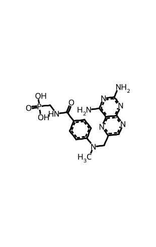 CN(Cc1cnc2nc(N)nc(N)c2n1)c1ccc(C(=O)NCP(=O)(O)O)cc1